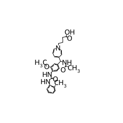 COc1cc(C(NC(C)=O)C2=CC=CN(CCCC(=O)O)C=C2)ccc1NC(=O)Nc1ccccc1C